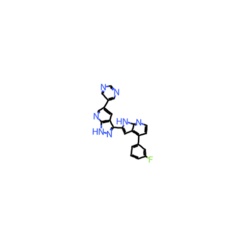 Fc1cccc(-c2ccnc3[nH]c(-c4n[nH]c5ncc(-c6cncnc6)cc45)cc23)c1